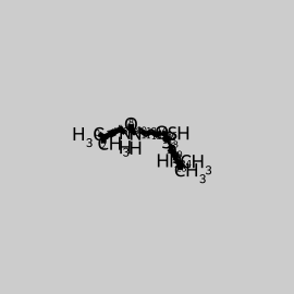 CC(C)C#CCNC(=O)NCCCCOC(S)SSCCNC(C)C